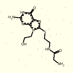 NCC(=O)NCCSc1nc2c(=O)[nH]c(N)nc2n1CCO